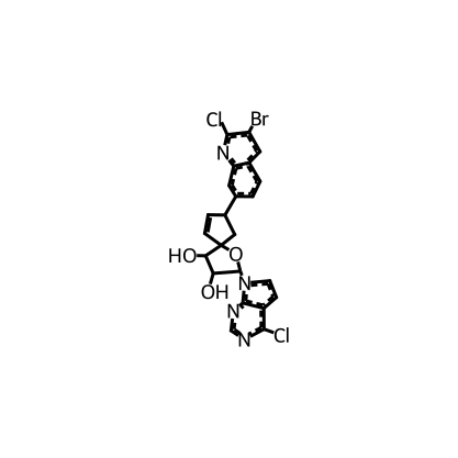 OC1C(n2ccc3c(Cl)ncnc32)OC2(C=CC(c3ccc4cc(Br)c(Cl)nc4c3)C2)C1O